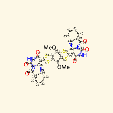 COc1c2c(c(OC)c3c1SC(=c1c(=O)[nH]c(=O)n4c(=O)c5ccccc5nc14)S3)SC(=c1c(=O)[nH]c(=O)n3c(=O)c4ccccc4nc13)S2